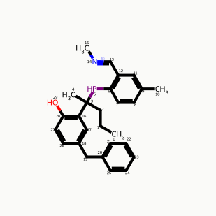 CCCC(C)(Pc1ccc(C)cc1/C=N/C)c1cc(Cc2ccccc2)ccc1O